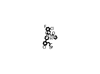 C[C@H](Cc1cc(Cl)ccc1C1CCN(C(=O)[C@@H](Cc2ccc(F)cc2Cl)NC(=O)N2CCCC2)CC1)CN(C)C